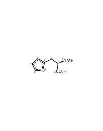 CN[C@H](Cc1ccco1)C(=O)O